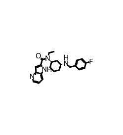 CCN(C(=O)c1cc2ncccc2[nH]1)[C@H]1CCC[C@@H](NCc2ccc(F)cc2)C1